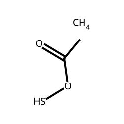 C.CC(=O)OS